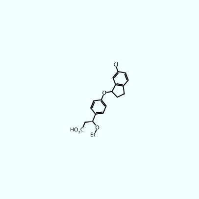 CCO[C@@H](CC(=O)O)c1ccc(OC2CCc3ccc(Cl)cc32)cc1